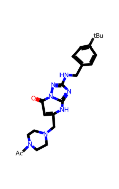 CC(=O)N1CCN(Cc2cc(=O)n3nc(NCc4ccc(C(C)(C)C)cc4)nc3[nH]2)CC1